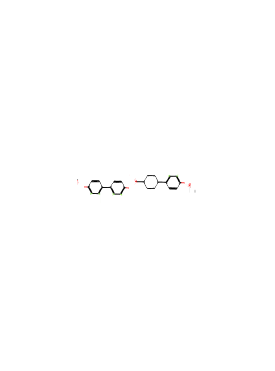 CCCOc1ccc(C2CCC(C(=O)Oc3ccc(-c4ccc(OCC)c(F)c4F)c(F)c3F)CC2)c(F)c1F